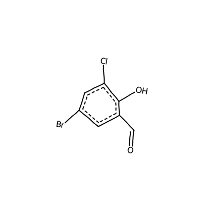 O=Cc1cc(Br)cc(Cl)c1O